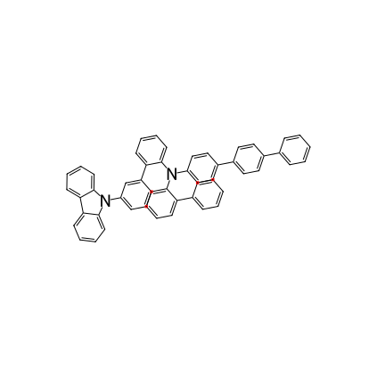 c1ccc(-c2ccc(-c3ccc(N(c4ccccc4-c4ccccc4)c4ccccc4-c4cccc(-n5c6ccccc6c6ccccc65)c4)cc3)cc2)cc1